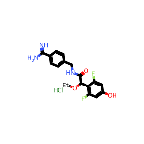 CCOC(C(=O)NCc1ccc(C(=N)N)cc1)c1c(F)cc(O)cc1F.Cl